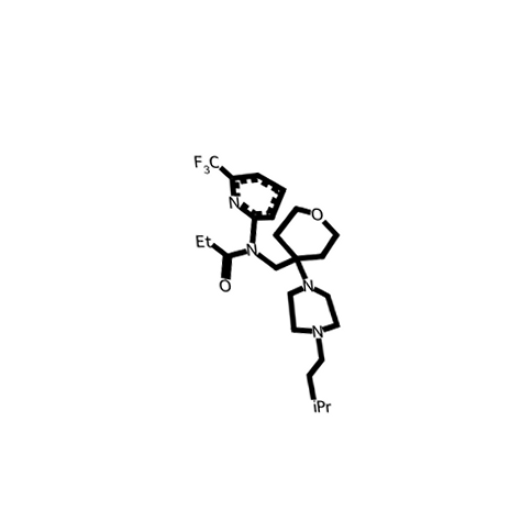 CCC(=O)N(CC1(N2CCN(CCC(C)C)CC2)CCOCC1)c1cccc(C(F)(F)F)n1